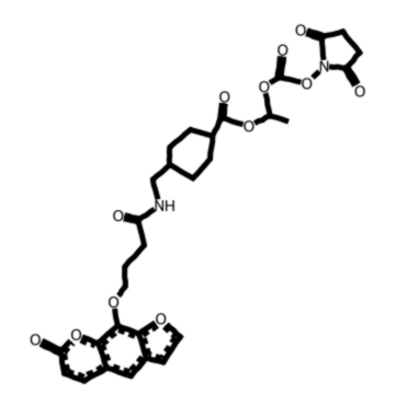 CC(OC(=O)ON1C(=O)CCC1=O)OC(=O)C1CCC(CNC(=O)CCCOc2c3occc3cc3ccc(=O)oc23)CC1